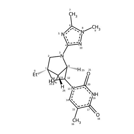 CC[C@@]12CN(c3nc(C)n(C)n3)[C@@H](C(n3cc(C)c(=O)[nH]c3=O)O1)[C@@H]2C